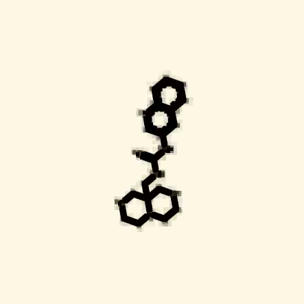 O=C(NCC12COCCN1CCOC2)Nc1cnc2ccccc2c1